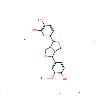 COc1cc(C2OCC3C(c4ccc(O)c(O)c4)OCC23)ccc1O